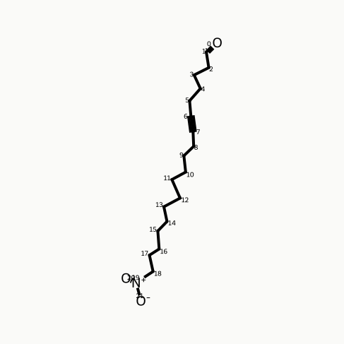 O=[C]CCCCC#CCCCCCCCCCCC[N+](=O)[O-]